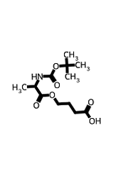 CC(NC(=O)OC(C)(C)C)C(=O)OCCCC(=O)O